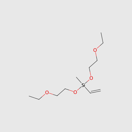 C=C[Si](C)(OCCOCC)OCCOCC